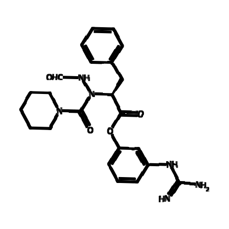 N=C(N)Nc1cccc(OC(=O)[C@H](Cc2ccccc2)N(NC=O)C(=O)N2CCCCC2)c1